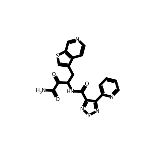 NC(=O)C(=O)C(Cc1csc2cnccc12)NC(=O)c1nsnc1-c1ccccn1